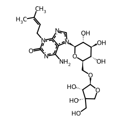 CC(C)=CCn1c(=O)nc(N)c2c1ncn2[C@@H]1O[C@H](CO[C@H]2OC[C@@](O)(CO)[C@@H]2O)[C@@H](O)[C@H](O)[C@H]1O